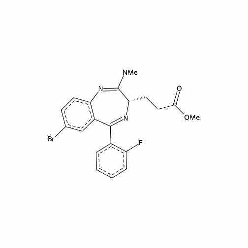 CNC1=Nc2ccc(Br)cc2C(c2ccccc2F)=N[C@H]1CCC(=O)OC